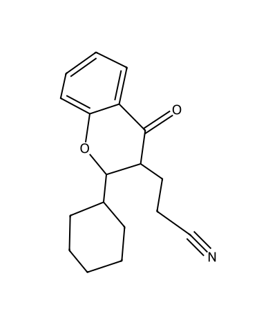 N#CCCC1C(=O)c2ccccc2OC1C1CCCCC1